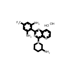 Cl.Cl.Nc1cc(C(F)(F)F)cc(N)c1-c1nc(N2CCCC(N)C2)c2ncccc2n1